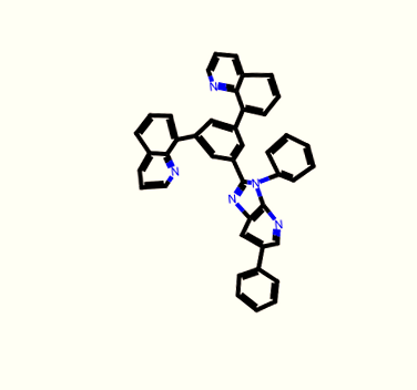 c1ccc(-c2cnc3c(c2)nc(-c2cc(-c4cccc5cccnc45)cc(-c4cccc5cccnc45)c2)n3-c2ccccc2)cc1